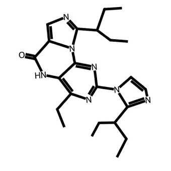 CCc1nc(-n2ccnc2C(CC)CC)nc2c1[nH]c(=O)c1cnc(C(CC)CC)n12